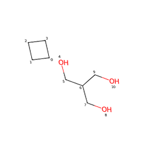 C1CCC1.OCC(CO)CO